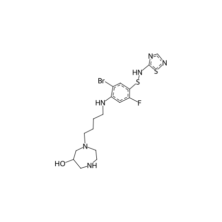 OC1CNCCN(CCCCNc2cc(F)c(SNc3ncns3)cc2Br)C1